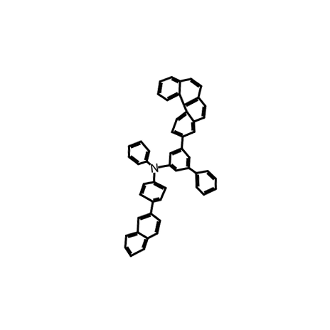 c1ccc(-c2cc(-c3ccc4c(ccc5ccc6ccccc6c54)c3)cc(N(c3ccccc3)c3ccc(-c4ccc5ccccc5c4)cc3)c2)cc1